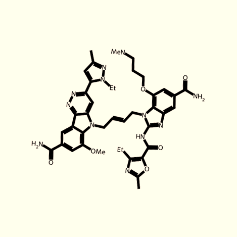 CCc1nc(C)oc1C(=O)Nc1nc2cc(C(N)=O)cc(OCCCNC)c2n1C/C=C/Cn1c2cc(-c3cc(C)nn3CC)nnc2c2cc(C(N)=O)cc(OC)c21